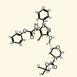 Cc1c(OC[C@H]2CN(C(=O)OC(C)(C)C)CCO2)nn(-c2ccccc2)c1NC(=O)Oc1ccccc1